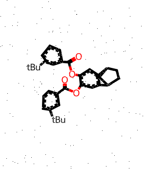 CC(C)(C)c1cccc(C(=O)Oc2cc3c(cc2OC(=O)c2cccc(C(C)(C)C)c2)C2CCC3C2)c1